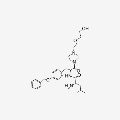 CC(C)CC(N)C(=O)NC(Cc1ccc(OCc2ccccc2)cc1)C(=O)N1CCN(CCOCCO)CC1